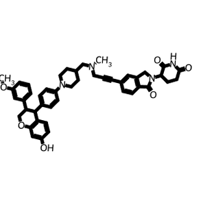 COc1cccc(C2COc3cc(O)ccc3C2c2ccc(N3CCC(CN(C)CC#Cc4ccc5c(c4)CN(C4CCC(=O)NC4=O)C5=O)CC3)cc2)c1